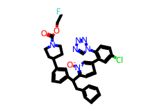 O=C(OCCF)N1CCC(c2cccc(C(Cc3ccccc3)c3ccc(-c4cc(Cl)ccc4-n4cnnn4)c[n+]3[O-])c2)CC1